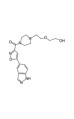 O=C(c1cc(-c2ccc3[nH]ncc3c2)on1)N1CCN(CCOCCO)CC1